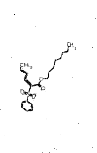 C/C=C/C=C(\C(=O)OCCCCCCCC)S(=O)(=O)c1ccccc1